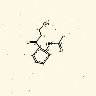 CC(=O)Nc1ccccc1C(=O)CCO